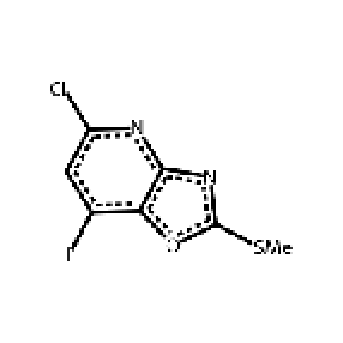 CSc1nc2nc(Cl)cc(I)c2o1